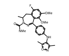 CNC(=O)N1N=C(c2ccc(Nc3c(C)noc3C)cc2)c2c(c(F)cc(OC)c2OC)CC1C